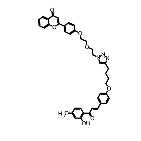 Cc1ccc(C(=O)C=Cc2ccc(OCCCCc3cn(CCOCCOc4ccc(-c5cc(=O)c6ccccc6o5)cc4)nn3)cc2)c(O)c1